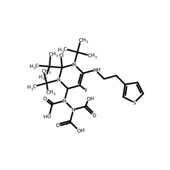 CC(C)(C)N1C(NCCc2ccsc2)=C(F)C(N(C(=O)O)N(C(=O)O)C(=O)O)N(C(C)(C)C)C1(Cl)C(C)(C)C